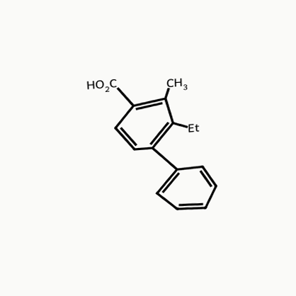 CCc1c(-c2ccccc2)ccc(C(=O)O)c1C